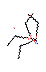 Br.CCCCCCCC/C=C\CCCCCCCCOCC(CCC(OCCCCCCCC/C=C\CCCCCCCC)OCCCCCCCC/C=C\CCCCCCCC)(CN(C)C)OCCCCCCCC/C=C\CCCCCCCC